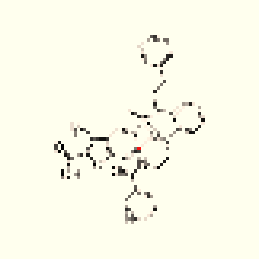 Cc1c(C(=O)O)oc2ccc(S(=O)(=O)N(CCc3ccccc3)c3ccccc3N3CCN(C(=O)c4cccnc4)CC3)cc12